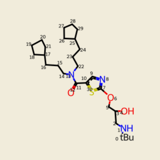 CC(C)(C)NCC(O)COc1ncc(C(=O)N(CCCC2CCCC2)CCCC2CCCC2)s1